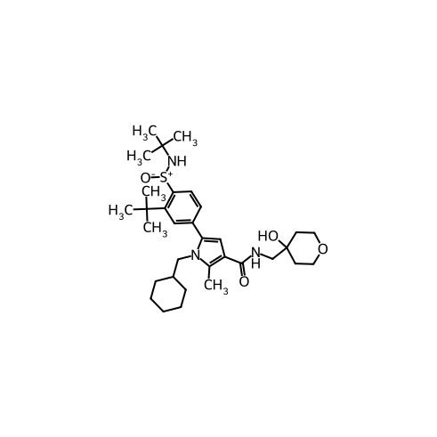 Cc1c(C(=O)NCC2(O)CCOCC2)cc(-c2ccc([S+]([O-])NC(C)(C)C)c(C(C)(C)C)c2)n1CC1CCCCC1